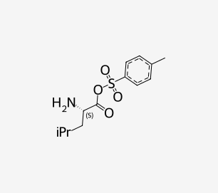 Cc1ccc(S(=O)(=O)OC(=O)[C@@H](N)CC(C)C)cc1